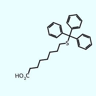 O=C(O)CCCCCCCSC(c1ccccc1)(c1ccccc1)c1ccccc1